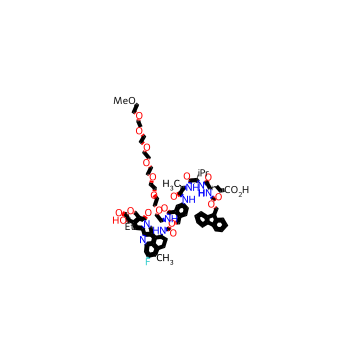 CC[C@@]1(O)C(=O)OCc2c1cc1n(c2=O)Cc2c-1nc1cc(F)c(C)c3c1c2[C@@H](NC(=O)OCc1ccc(NC(=O)[C@H](C)NC(=O)[C@@H](NC(=O)[C@H](CCC(=O)O)NC(=O)OCC2c4ccccc4-c4ccccc42)C(C)C)cc1C(=O)NCCOCCOCCOCCOCCOCCOCCOCCOC)CC3